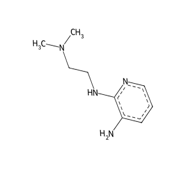 CN(C)CCNc1ncccc1N